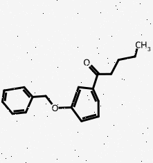 CCCCC(=O)c1cccc(OCc2ccccc2)c1